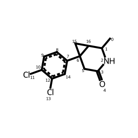 CC1NC(=O)CC2(c3ccc(Cl)c(Cl)c3)CC12